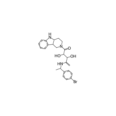 C=C(NC(C)c1ccc(Br)cc1)C(O)C(O)C(=O)N1CCC2Nc3ccccc3C2C1